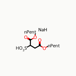 CCCCCOC(=O)CC(C(=O)OCCCCC)S(=O)(=O)O.[NaH]